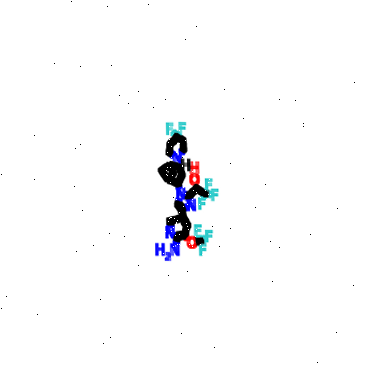 Nc1ncc(-c2cn(C3C[C@H](N4CCC(F)(F)CC4)C4CC3C4)c([C@@H](O)C(F)(F)F)n2)cc1OC(F)(F)F